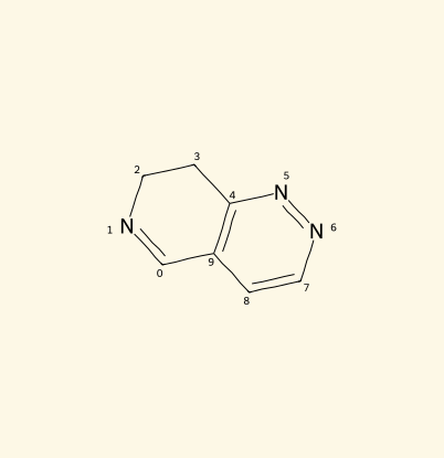 C1=NCCc2nnccc21